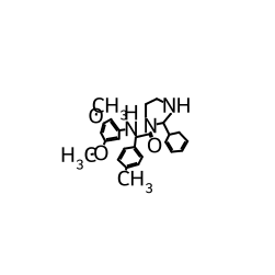 COc1cc(NC(C(=O)N2CCCNCC2C2C=CC=CC2)c2ccc(C)cc2)cc(OC)c1